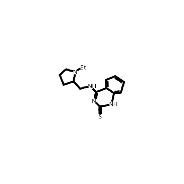 CCN1CCCC1CNc1nc(=S)[nH]c2ccccc12